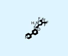 NC(CC(C(F)(F)F)C(F)(F)F)c1nc2cc(-c3ccncc3)ccc2o1